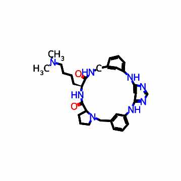 CN(C)CCCC[C@@H]1NC(=O)C2CCCN2Cc2cccc(c2)Nc2cc(ncn2)Nc2cccc(c2)CNC1=O